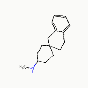 CNC1CCC2(CCc3ccccc3C2)CC1